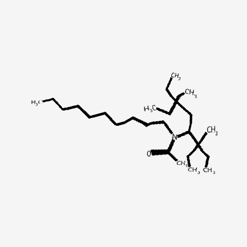 CCCCCCCCCCN(C(C)=O)C(CC(C)(CC)CC)C(C)(CC)CC